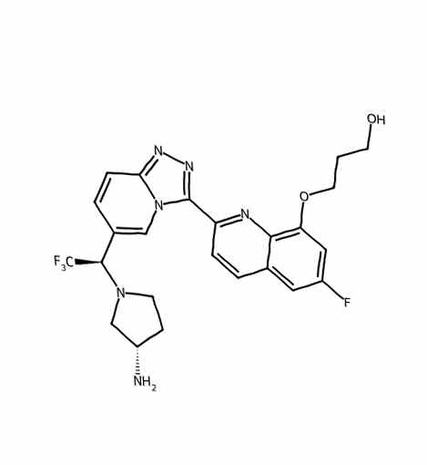 N[C@H]1CCN([C@H](c2ccc3nnc(-c4ccc5cc(F)cc(OCCCO)c5n4)n3c2)C(F)(F)F)C1